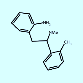 CNC(Cc1ccccc1N)c1ccccc1C